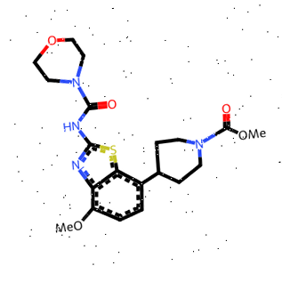 COC(=O)N1CCC(c2ccc(OC)c3nc(NC(=O)N4CCOCC4)sc23)CC1